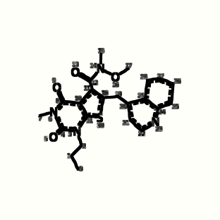 CCCn1c(=O)n(C)c(=O)c2c(C(=O)N(C)OC)c(Cc3ccnc4ccccc34)sc21